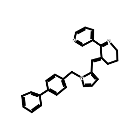 C(=C1CCCN=C1c1cccnc1)c1cccn1Cc1ccc(-c2ccccc2)cc1